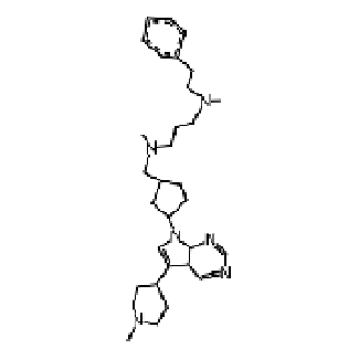 CN(CCCN(C)CC1CCC(N2C=C(C3CCN(C)CC3)C3C=NC=NC32)C1)CCc1ccccc1